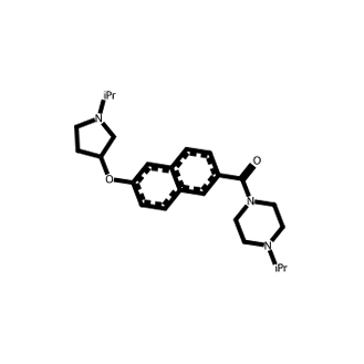 CC(C)N1CCN(C(=O)c2ccc3cc(OC4CCN(C(C)C)C4)ccc3c2)CC1